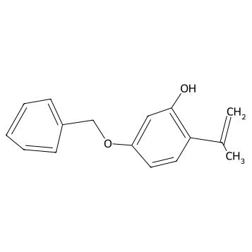 C=C(C)c1ccc(OCc2ccccc2)cc1O